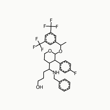 CC(OC1OCCC(C(CCCO)NCc2ccccc2)C1c1ccc(F)cc1)c1cc(C(F)(F)F)cc(C(F)(F)F)c1